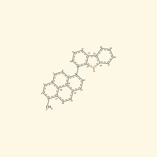 Cc1ccc2ccc3c(-c4cccc5c4sc4ccccc45)ccc4ccc1c2c43